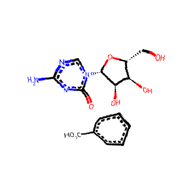 Nc1ncn([C@@H]2O[C@H](CO)[C@@H](O)[C@H]2O)c(=O)n1.O=C(O)c1ccccc1